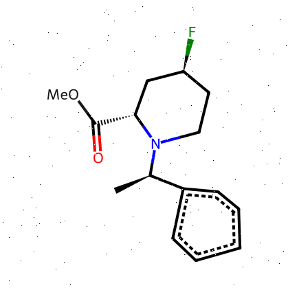 COC(=O)[C@@H]1C[C@@H](F)CCN1[C@H](C)c1ccccc1